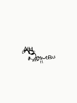 CC(C)(C)CCNCc1ccc2[nH]cc(Cc3ccc(C(N)=O)cc3)c2c1